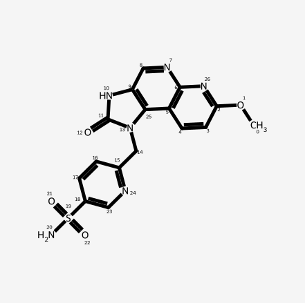 COc1ccc2c(ncc3[nH]c(=O)n(Cc4ccc(S(N)(=O)=O)cn4)c32)n1